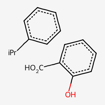 CC(C)c1ccccc1.O=C(O)c1ccccc1O